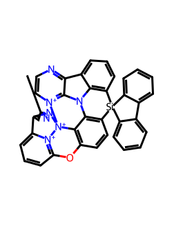 Cc1cc2n(n1)[N+]13c4c(ccc5c4-n4c6c(cccc6c6ncc[n+]1c64)[Si]51c4ccccc4-c4ccccc41)Oc1cccc-2[n+]13